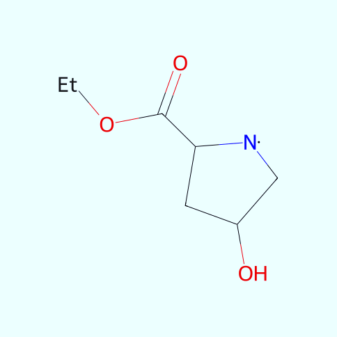 CCOC(=O)C1CC(O)C[N]1